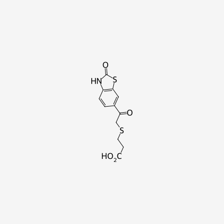 O=C(O)CCSCC(=O)c1ccc2[nH]c(=O)sc2c1